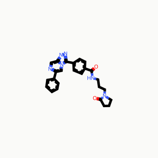 O=C(NCCCN1CCCC1=O)c1ccc(-c2nnc3cnc(-c4ccccc4)cn23)cc1